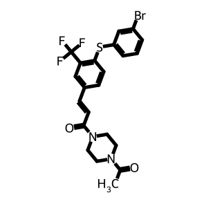 CC(=O)N1CCN(C(=O)C=Cc2ccc(Sc3cccc(Br)c3)c(C(F)(F)F)c2)CC1